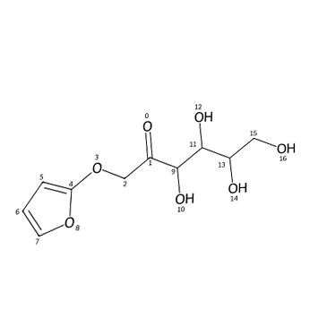 O=C(COc1ccco1)C(O)C(O)C(O)CO